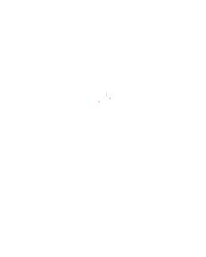 CCCCCCCCCCCCCCCCOC(C)N(CCO)CCO